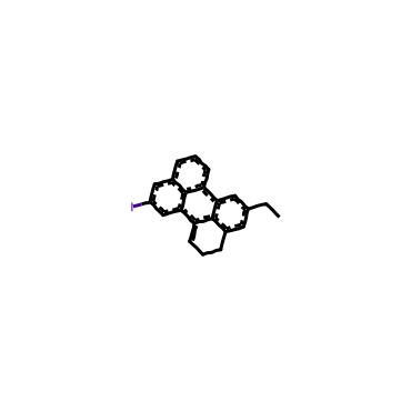 CCc1cc2c3c(c4cc(I)cc5cccc(c3c1)c54)=CCC2